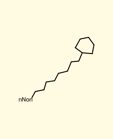 [CH2]CCCCCCCCCCCCCCCCC1CCCCC1